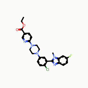 CCOC(=O)c1ccc(N2CCN(c3ccc(Cl)c(-c4nc5ccc(F)cc5n4C)c3)CC2)nc1